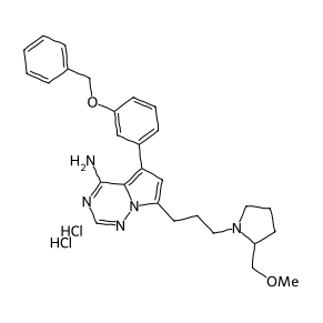 COCC1CCCN1CCCc1cc(-c2cccc(OCc3ccccc3)c2)c2c(N)ncnn12.Cl.Cl